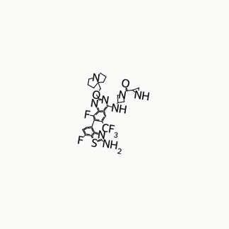 Nc1nc2c(-c3c(C(F)(F)F)cc4c(NC5CN(C(=O)C6CN6)C5)nc(OCC56CCCN5CCC6)nc4c3F)ccc(F)c2s1